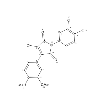 COc1ccc(C2=C(Cl)C(=O)N(c3ccc(Cl)c(Cl)c3)C2=O)cc1OC